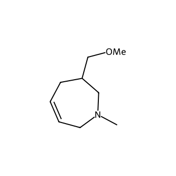 COCC1CC=CCN(C)C1